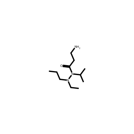 CCCN(CC)N(C(=O)CCN)C(C)C